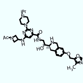 CC(=O)N1CC(Nc2cc(C(=O)NC[C@@H](O)[C@@H]3Cc4ccc(OCc5ocnc5C)cc4CN3)nc(N3CCN(C(C)C)CC3)n2)C1